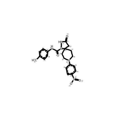 Cc1ccc(NC(=O)N2NC(=O)CC23CCN(c2ccc([N+](=O)[O-])cc2)CC3)cc1